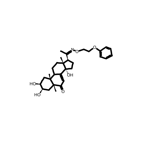 C/C(=N/OCCOc1ccccc1)[C@H]1CC[C@@]2(O)C3=CC(=O)[C@]4(C)C[C@@H](O)[C@@H](O)C[C@]4(C)C3CC[C@]12C